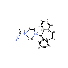 CC(N)N1CCN(C2c3ccccc3CCc3ccccc32)CC1